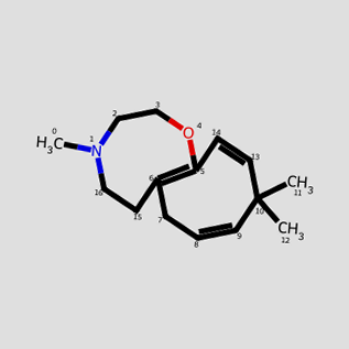 CN1CCOC2=C(\CC=CC(C)(C)/C=C\2)CC1